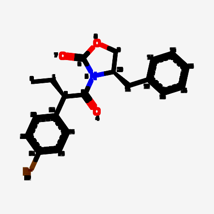 CC[C@@H](C(=O)N1C(=O)OC[C@H]1Cc1ccccc1)c1ccc(Br)cc1